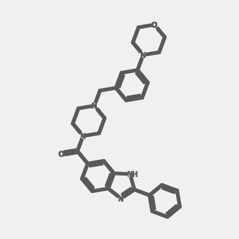 O=C(c1ccc2nc(-c3ccccc3)[nH]c2c1)N1CCN(Cc2cccc(N3CCOCC3)c2)CC1